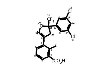 Cc1c(C(=O)O)cccc1C1=NOC(c2cc(Cl)cc(Cl)c2)(C(F)(F)F)C1